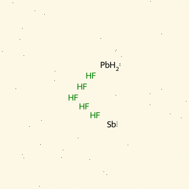 F.F.F.F.F.[PbH2].[Sb]